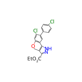 CCOC(=O)c1n[nH]c2c1COc1cc(Cl)c(-c3ccc(Cl)cc3)cc1-2